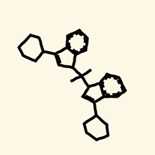 CC(C)(C1C=C(C2CCCCC2)c2ccccc21)C1C=C(C2CCCCC2)c2ccccc21